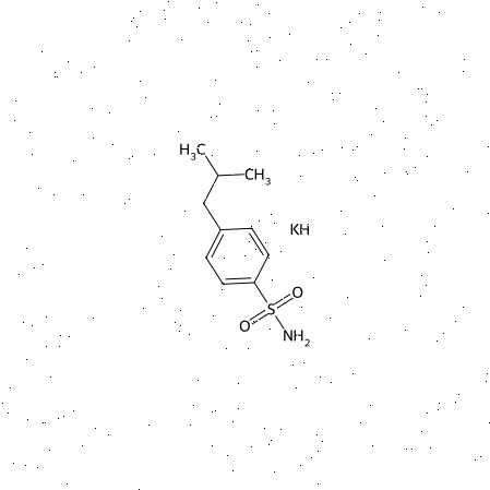 CC(C)Cc1ccc(S(N)(=O)=O)cc1.[KH]